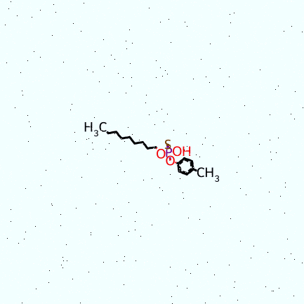 CCCCCCCCCOP(O)(=S)Oc1ccc(C)cc1